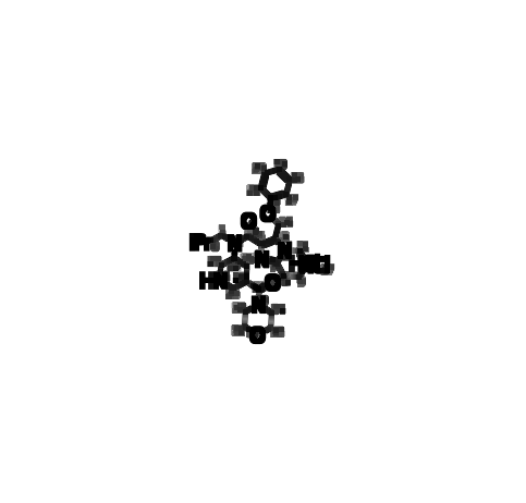 CC(C)CN(C(=O)c1nc2ccccn2c1COc1ccccc1)[C@@H]1CNC[C@H](C(=O)N2CCOCC2)C1.Cl.Cl